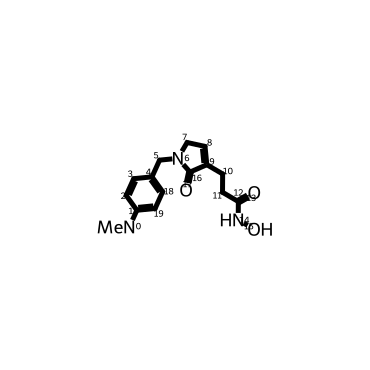 CNc1ccc(CN2CC=C(CCC(=O)NO)C2=O)cc1